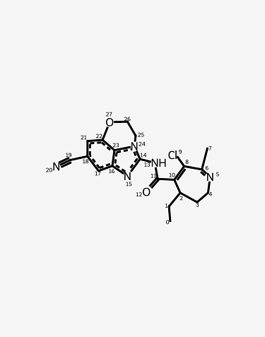 CCC1CCN=C(C)C(Cl)=C1C(=O)Nc1nc2cc(C#N)cc3c2n1CCO3